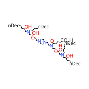 CCCCCCCCCCCC[C@@H](O)CN(CCOCCN1CCN(CCN(CCOCCN(C[C@H](O)CCCCCCCCCCCC)C[C@@H](O)CCCCCCCCCCCC)C(=O)CCCC(=O)O)CC1)C[C@@H](O)CCCCCCCCCCCC